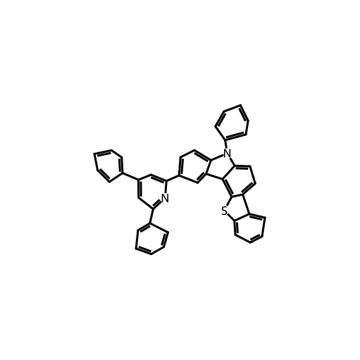 c1ccc(-c2cc(-c3ccccc3)nc(-c3ccc4c(c3)c3c5sc6ccccc6c5ccc3n4-c3ccccc3)c2)cc1